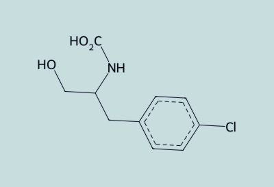 O=C(O)NC(CO)Cc1ccc(Cl)cc1